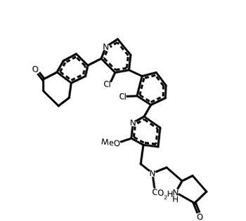 COc1nc(-c2cccc(-c3ccnc(-c4ccc5c(c4)CCCC5=O)c3Cl)c2Cl)ccc1CN(CC1CCC(=O)N1)C(=O)O